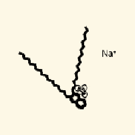 CCCCCCCCCCCCCCCCCc1cc2ccccc2c(S(=O)(=O)[O-])c1CCCCCCCCCCCCCCCCC.[Na+]